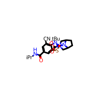 CC(C)NC(=O)c1cc(C#N)c2nc(N3C4CCC3CN(C(=O)OC(C)(C)C)C4)sc2c1